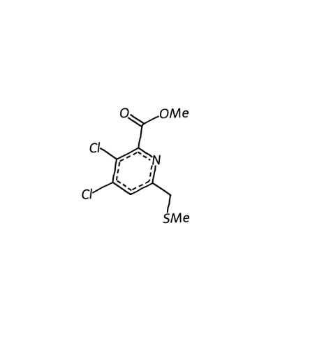 COC(=O)c1nc(CSC)cc(Cl)c1Cl